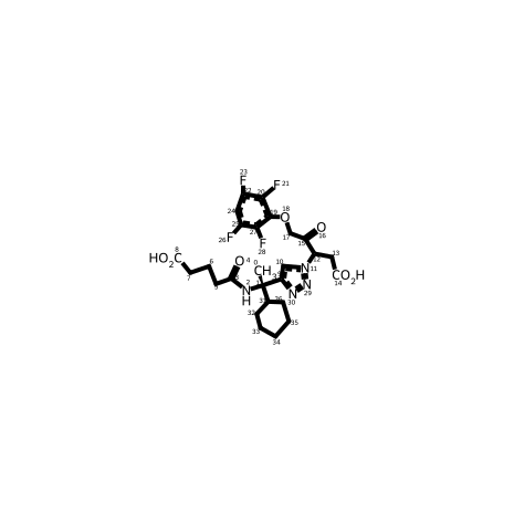 C[C@@](NC(=O)CCCC(=O)O)(c1cn(C(CC(=O)O)C(=O)COc2c(F)c(F)cc(F)c2F)nn1)C1CCCCC1